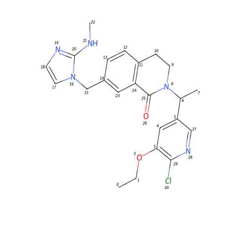 CCOc1cc(C(C)N2CCc3ccc(Cn4ccnc4NC)cc3C2=O)cnc1Cl